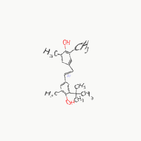 Cc1cc(/C=C/c2cc(C)c(O)c(C(C)(C)C)c2)cc(C)c1O